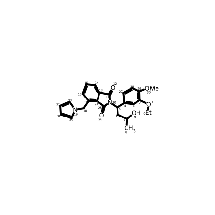 CCOc1cc(C(CC(C)O)N2C(=O)c3cccc(Cn4cccc4)c3C2=O)ccc1OC